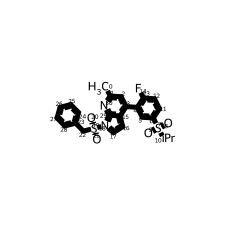 Cc1cc(-c2cc(S(=O)(=O)C(C)C)ccc2F)c2ccn(S(=O)(=O)Cc3ccccc3)c2n1